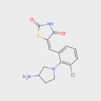 NC1CCN(c2c(Cl)cccc2C=C2SC(=O)NC2=O)C1